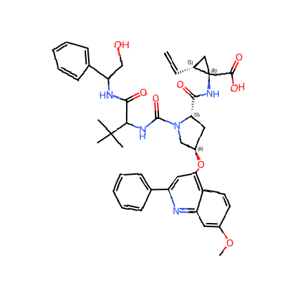 C=C[C@@H]1C[C@]1(NC(=O)[C@@H]1C[C@@H](Oc2cc(-c3ccccc3)nc3cc(OC)ccc23)CN1C(=O)NC(C(=O)NC(CO)c1ccccc1)C(C)(C)C)C(=O)O